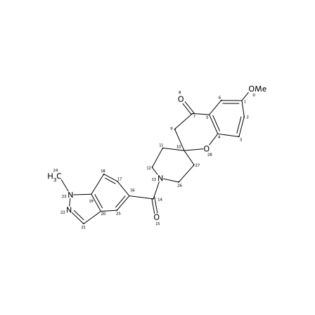 COc1ccc2c(c1)C(=O)CC1(CCN(C(=O)c3ccc4c(cnn4C)c3)CC1)O2